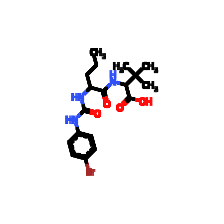 CCCC(NC(=O)Nc1ccc(Br)cc1)C(=O)NC(C(=O)O)C(C)(C)C